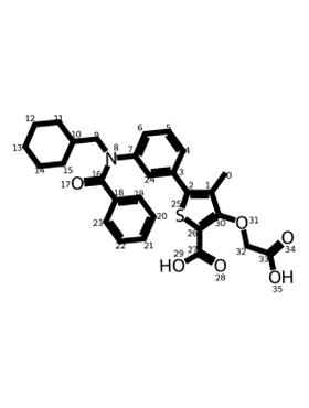 Cc1c(-c2cccc(N(CC3CCCCC3)C(=O)c3ccccc3)c2)sc(C(=O)O)c1OCC(=O)O